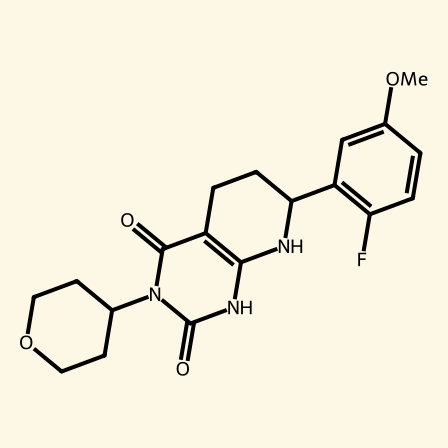 COc1ccc(F)c(C2CCc3c([nH]c(=O)n(C4CCOCC4)c3=O)N2)c1